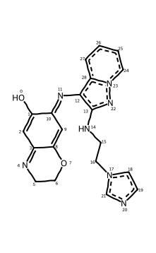 OC1=CC2=NCCOC2=C/C1=N\c1c(NCCn2ccnc2)nn2ccccc12